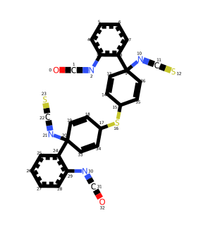 O=C=Nc1ccccc1C1(N=C=S)C=CC(SC2C=CC(N=C=S)(c3ccccc3N=C=O)C=C2)C=C1